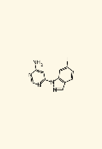 Nc1cc(-n2ncc3ccc(I)cc32)ncn1